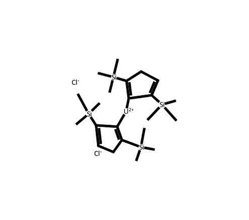 C[Si](C)(C)C1=CCC([Si](C)(C)C)=[C]1[U+2][C]1=C([Si](C)(C)C)CC=C1[Si](C)(C)C.[Cl-].[Cl-]